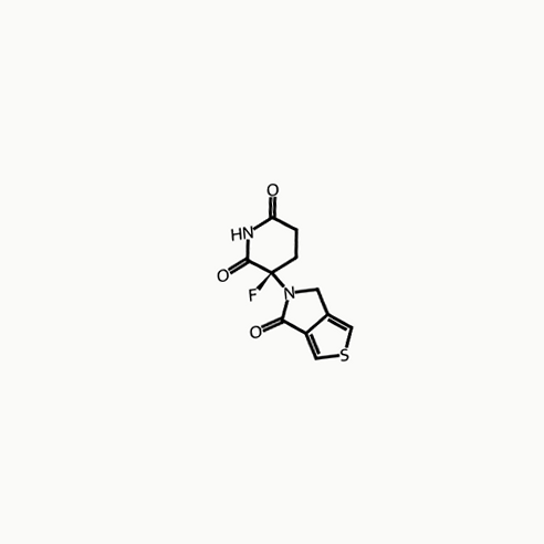 O=C1CC[C@](F)(N2Cc3cscc3C2=O)C(=O)N1